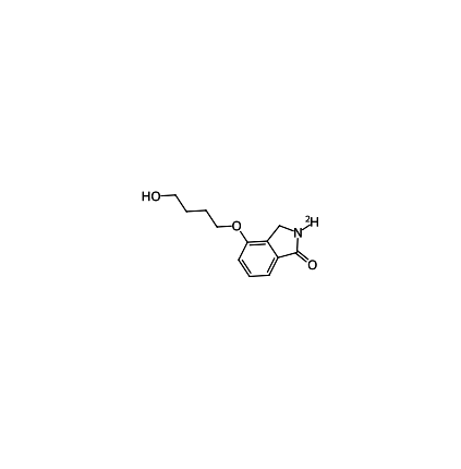 [2H]N1Cc2c(OCCCCO)cccc2C1=O